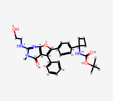 Cn1c(NCCO)nc2oc(-c3ccc(C4(NC(=O)OC(C)(C)C)CCC4)cc3)c(-c3ccccc3)c2c1=O